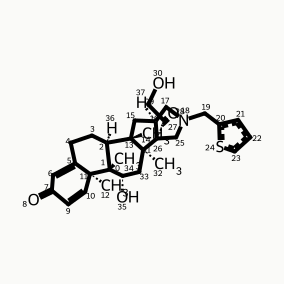 C[C@]12[C@@H](CCC3=CC(=O)C=C[C@@]31C)[C@]1(C)C[C@H]3CN(Cc4cccs4)C[C@@]3(C(=O)CO)[C@@]1(C)C[C@@H]2O